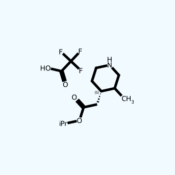 CC(C)OC(=O)C[C@@H]1CCNCC1C.O=C(O)C(F)(F)F